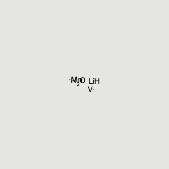 O.[LiH].[Mn].[V]